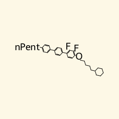 CCCCCc1ccc(-c2ccc(-c3ccc(OCCCCCC4CCCCC4)c(F)c3F)cc2)cc1